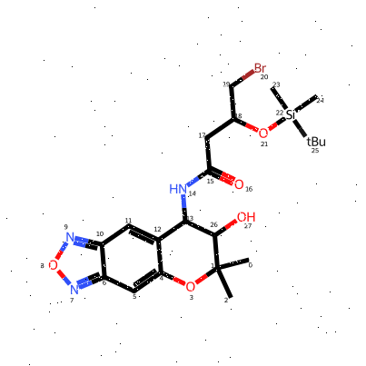 CC1(C)Oc2cc3nonc3cc2C(NC(=O)CC(CBr)O[Si](C)(C)C(C)(C)C)C1O